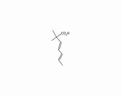 C/C=C/C=C/C(C)(C)C(=O)O